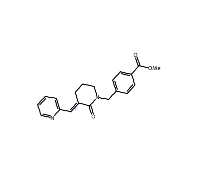 COC(=O)c1ccc(CN2CCC/C(=C\c3ccccn3)C2=O)cc1